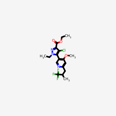 CCOC(=O)c1nn(CC)c(-c2cnc(CC(C)C(F)(F)F)cc2OC)c1Cl